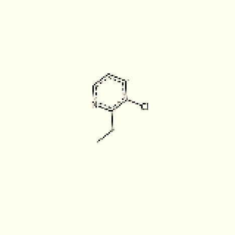 CCc1ncc[c]c1Cl